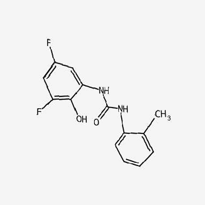 Cc1ccccc1NC(=O)Nc1cc(F)cc(F)c1O